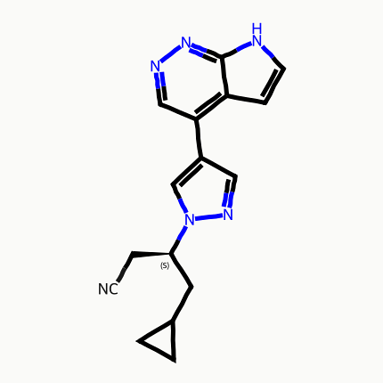 N#CC[C@H](CC1CC1)n1cc(-c2cnnc3[nH]ccc23)cn1